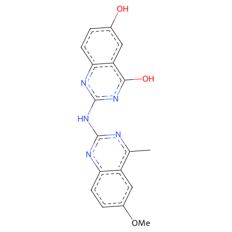 COc1ccc2nc(Nc3nc(O)c4cc(O)ccc4n3)nc(C)c2c1